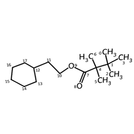 CC(C)(C)C(C)(C)C(=O)OCCC1CCCCC1